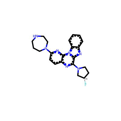 F[C@H]1CCN(c2nc3ccc(N4CCCNCC4)nc3n3c2nc2ccccc23)C1